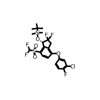 CC(C)(C)[Si](C)(C)O[C@H]1c2c(S(=O)(=O)C(F)F)ccc(Oc3ccc(F)c(Cl)c3)c2CC1(F)F